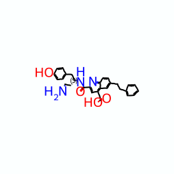 NCC[C@H](Cc1ccc(O)cc1)NC(=O)c1cc(C(=O)O)c2cc(CCc3ccccc3)ccc2n1